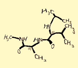 CNC(=O)[C@H](C)NC(=O)[C@@H](NC(C)C)C(C)C